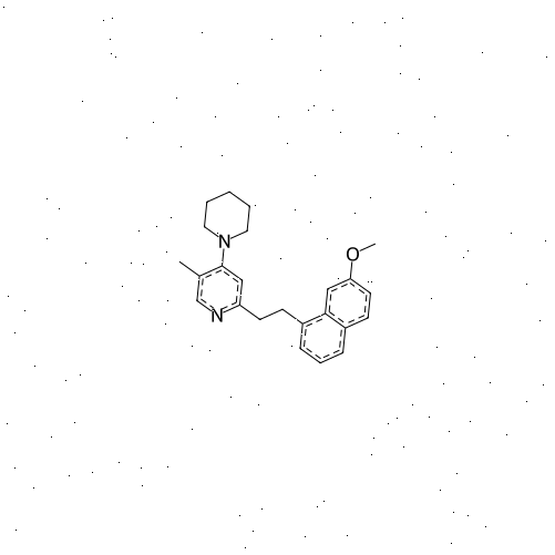 COc1ccc2cccc(CCc3cc(N4CCCCC4)c(C)cn3)c2c1